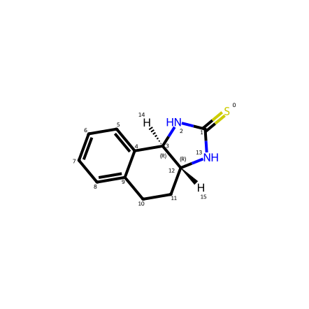 S=C1N[C@@H]2c3ccccc3CC[C@H]2N1